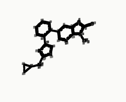 Cn1c(=O)oc2cc(-c3ccccc3-c3csc(NC4CC4)n3)cnc21